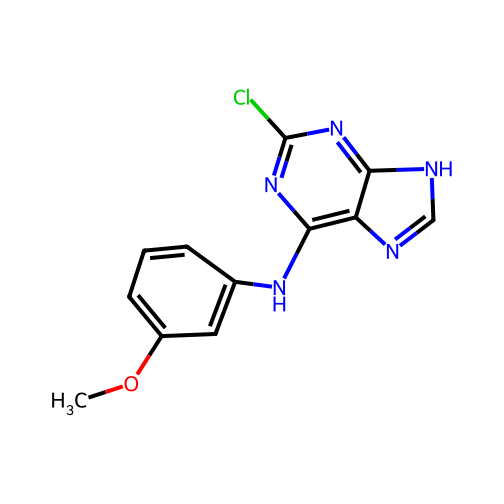 COc1cccc(Nc2nc(Cl)nc3[nH]cnc23)c1